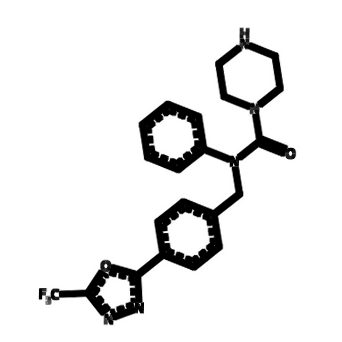 O=C(N1CCNCC1)N(Cc1ccc(-c2nnc(C(F)(F)F)o2)cc1)c1ccccc1